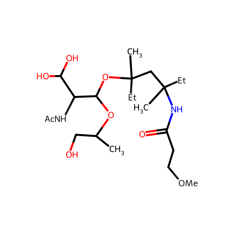 CCC(C)(CC(C)(CC)OC(OC(C)CO)C(NC(C)=O)C(O)O)NC(=O)CCOC